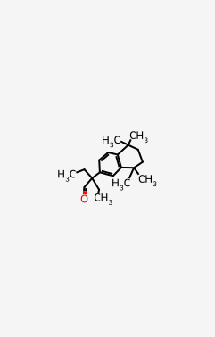 CCC(C=O)(CC)c1ccc2c(c1)C(C)(C)CCC2(C)C